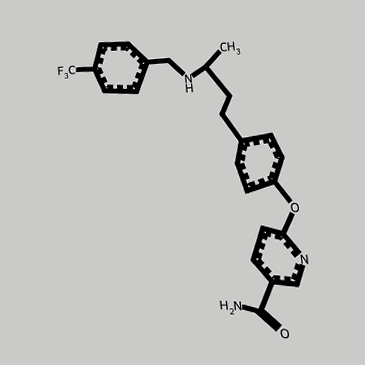 CC(CCc1ccc(Oc2ccc(C(N)=O)cn2)cc1)NCc1ccc(C(F)(F)F)cc1